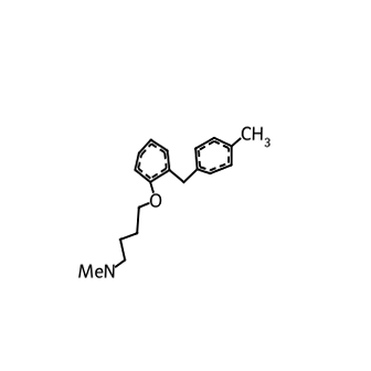 CNCCCCOc1ccccc1Cc1ccc(C)cc1